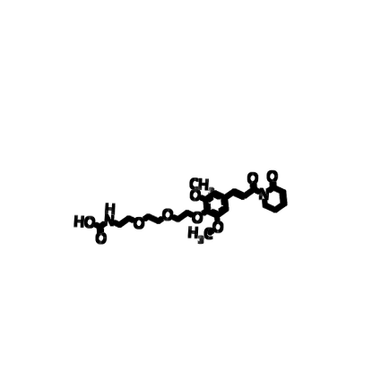 COc1cc(/C=C/C(=O)N2CCC=CC2=O)cc(OC)c1OCCOCCOCCNC(=O)O